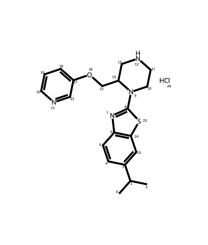 CC(C)c1ccc2nc(N3CCNCC3COc3cccnc3)sc2c1.Cl